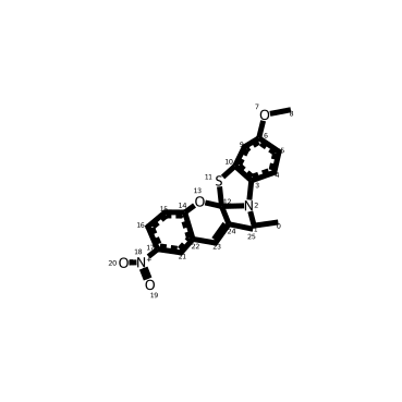 CCN1c2ccc(OC)cc2SC12Oc1ccc([N+](=O)[O-])cc1C=C2C